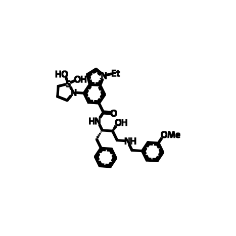 CCn1ccc2c(N3CCCS3(O)O)cc(C(=O)N[C@@H](Cc3ccccc3)[C@@H](O)CNCc3cccc(OC)c3)cc21